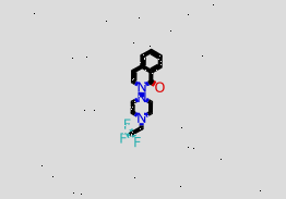 O=c1c2ccccc2ccn1N1CCN(CC(F)(F)F)CC1